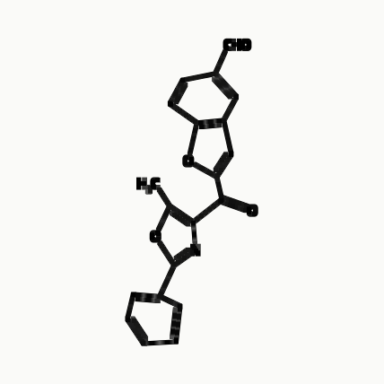 Cc1oc(-c2ccccc2)nc1C(=O)c1cc2cc(C=O)ccc2o1